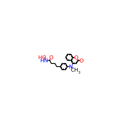 CN(c1ccc(CCCC(=O)NO)cc1)c1cc(=O)oc2ccccc12